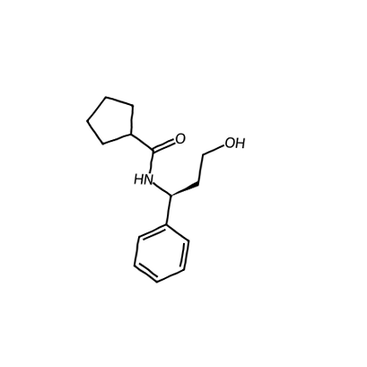 O=C(N[C@@H](CCO)c1ccccc1)C1CCCC1